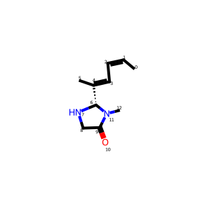 C/C=C\C=C(/C)[C@H]1NCC(=O)N1C